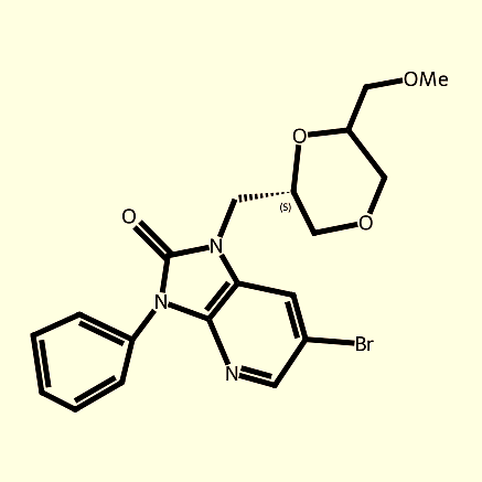 COCC1COC[C@H](Cn2c(=O)n(-c3ccccc3)c3ncc(Br)cc32)O1